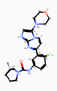 C[C@H]1CCCN1C(=O)Nc1ccc(F)c(-c2ccn3c(N4CCOCC4)cnc3n2)c1